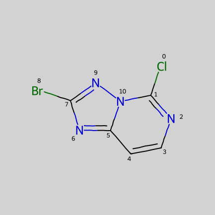 Clc1nccc2nc(Br)nn12